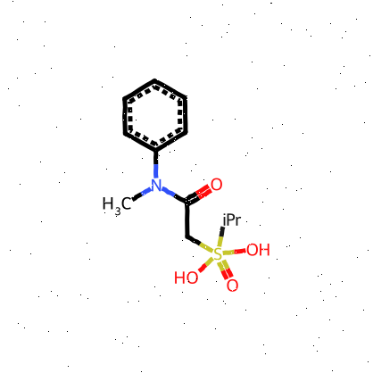 CC(C)S(=O)(O)(O)CC(=O)N(C)c1ccccc1